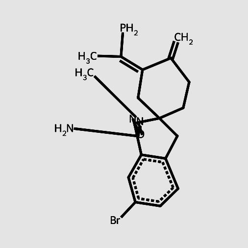 C=C1CCC2(C/C1=C(\C)P)Cc1ccc(Br)cc1C21N=C(N)N(C)O1